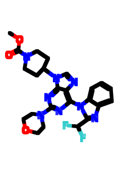 COC(=O)N1CCC(n2cnc3c(-n4c(C(F)F)nc5ccccc54)nc(N4CCOCC4)nc32)CC1